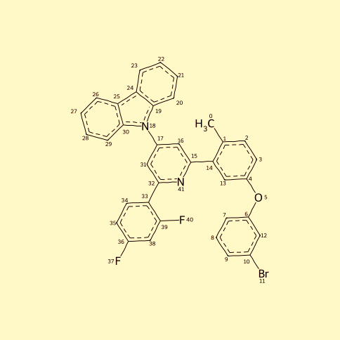 Cc1ccc(Oc2cccc(Br)c2)cc1-c1cc(-n2c3ccccc3c3ccccc32)cc(-c2ccc(F)cc2F)n1